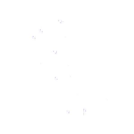 Cn1cc(NC(=O)c2coc(-c3ccnc(NC45CCC(CC4)C5)c3)n2)c(C(N)=O)n1